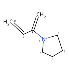 C=CC(=C)N1CCCC1